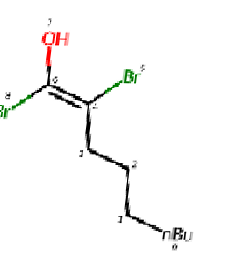 CCCCCCC/C(Br)=C(/O)Br